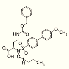 CCC[IH]ON([C@H](CCNC(=O)OCc1ccccc1)C(=O)O)S(=O)(=O)c1ccc(-c2ccc(OC)cc2)cc1